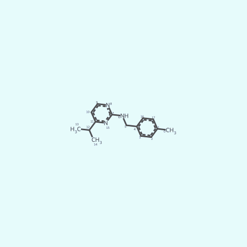 Cc1ccc(CNc2nccc(C(C)C)n2)cc1